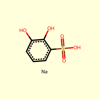 O=S(=O)(O)c1cccc(O)c1O.[Na]